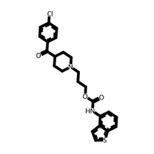 O=C(Nc1cccc2sccc12)OCCCN1CCC(C(=O)c2ccc(Cl)cc2)CC1